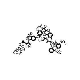 CC1COc2ccccc2N1C(=O)C(Cl)Cl.CCc1cccc(C)c1N(C(=O)CCl)C(C)COC.CS(=O)(=O)c1cc(C(F)(F)F)ccc1C(=O)c1cnoc1C1CC1.C[S+](C)C.Nc1c([N+](=O)[O-])ccc(Oc2ccccc2)c1Cl.O=C(O)CNCP(=O)([O-])O